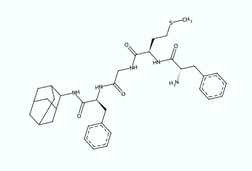 CSCC[C@@H](NC(=O)[C@@H](N)Cc1ccccc1)C(=O)NCC(=O)N[C@@H](Cc1ccccc1)C(=O)NC1C2CC3CC(C2)CC1C3